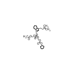 CC(=O)OCOP(=O)(OCOC(=O)Oc1ccccc1)OCn1cc(CCN(C)C)c2ccccc21